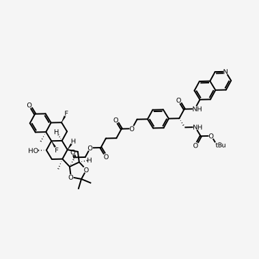 CC(C)(C)OC(=O)NC[C@@H](C(=O)Nc1ccc2cnccc2c1)c1ccc(COC(=O)CCC(=O)OCC(=O)[C@@]23OC(C)(C)O[C@@H]2C[C@H]2[C@@H]4C[C@H](F)C5=CC(=O)C=C[C@]5(C)[C@@]4(F)[C@@H](O)C[C@@]23C)cc1